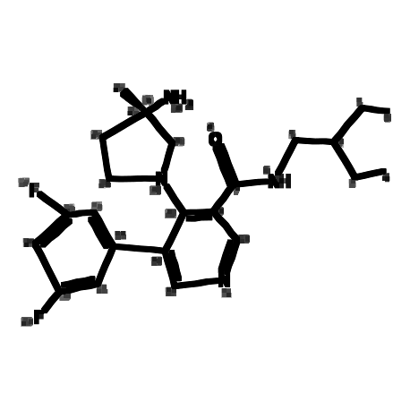 CCC(CC)CNC(=O)c1cncc(-c2cc(F)cc(F)c2)c1N1CC[C@](C)(N)C1